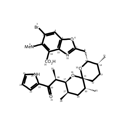 CNc1c(Br)cc2oc(C[C@H]3O[C@@]4(CC[C@H]3C)O[C@H]([C@H](C)C(=O)c3ccc[nH]3)[C@H](C)C[C@H]4C)nc2c1C(=O)O